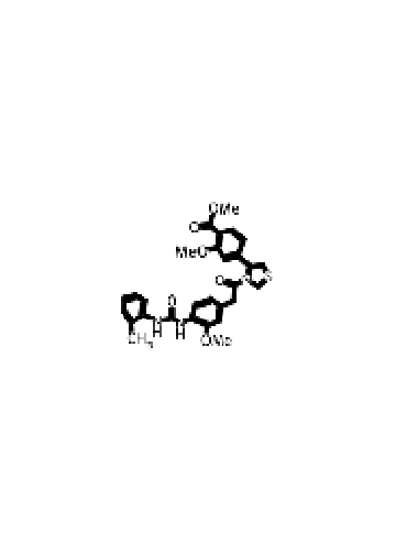 COC(=O)c1ccc(C2CSCN2C(=O)Cc2ccc(NC(=O)Nc3ccccc3C)c(OC)c2)cc1OC